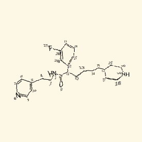 O=C(NCCc1ccncc1)C(CCCCC1CCNCC1)c1cccc(F)c1